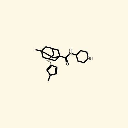 CC1C=CC([C@]23CC4CC(C)(CC(C(=O)NC5CCNCC5)(C4)C2)C3)=C1